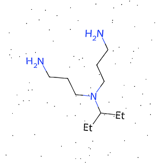 CCC(CC)N(CCCN)CCCN